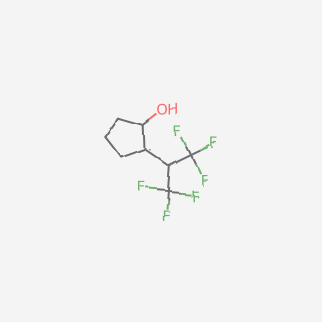 OC1CCC[C]1C(C(F)(F)F)C(F)(F)F